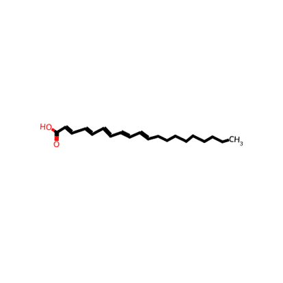 CCCCCCCCCC=CC=CC=C/C=C/C=C/C(=O)O